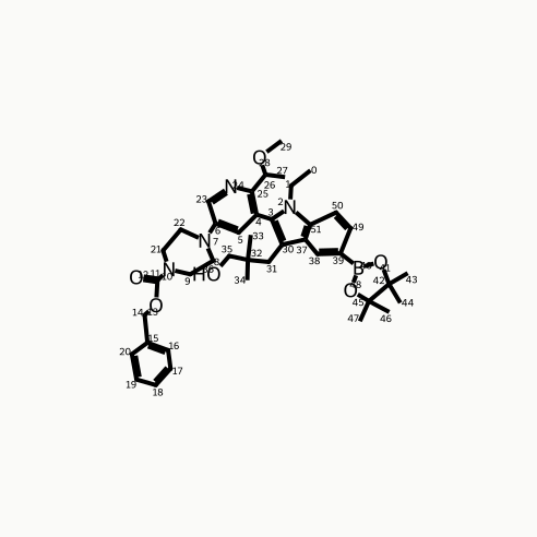 CCn1c(-c2cc(N3CCN(C(=O)OCc4ccccc4)CC3)cnc2C(C)OC)c(CC(C)(C)CO)c2cc(B3OC(C)(C)C(C)(C)O3)ccc21